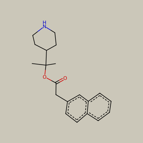 CC(C)(OC(=O)Cc1ccc2ccccc2c1)C1CCNCC1